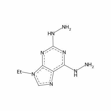 CCn1cnc2c(NN)nc(NN)nc21